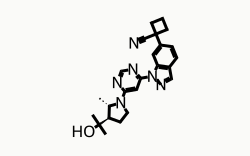 C[C@H]1[C@H](C(C)(C)O)CCN1c1cc(-n2ncc3ccc(C4(C#N)CCC4)cc32)ncn1